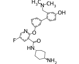 CN(C)Cc1cc(O)ccc1-c1cccc(Oc2ncc(F)cc2C(=O)N[C@H]2CC[C@H](N)CC2)c1